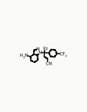 CCC(C=CC#N)(c1ccc(C(F)(F)F)cc1)n1ncc2c(N)cccc21